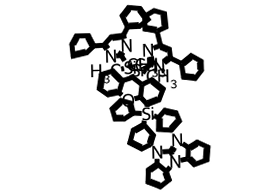 C[Si](C)(c1nc(C2=CCCC=C2)cc(-c2ccccc2)n1)C1([Si](C)(C)c2nc(-c3ccccc3)cc(-c3ccccc3)n2)c2ccccc2OC2C([Si](c3ccccc3)(c3ccccc3)c3cccc(-n4c5ccccc5n5c6ccccc6nc45)c3)=CC=CC21